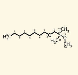 CCCCCCCCOC[Si](C)(C)OC